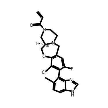 C=CC(=O)N1CCN2Cc3cc(F)c(-c4c(C)ccc5[nH]cnc45)c(Cl)c3OC[C@H]2C1